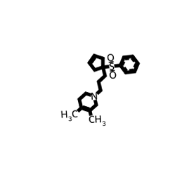 CC1=C(C)CN(CCCC2(S(=O)(=O)c3ccccc3)CC=CC2)CC1